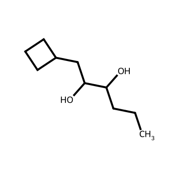 CCCC(O)C(O)CC1CCC1